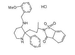 COc1ccccc1CNC1CCCNC1(CCC(C)N1C(=O)C2CC=CC=C2S1(=O)=O)c1ccccc1.Cl